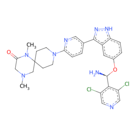 CN1CC(=O)N(C)C2(CCN(c3ccc(-c4n[nH]c5ccc(O[C@H](N)c6c(Cl)cncc6Cl)cc45)cn3)CC2)C1